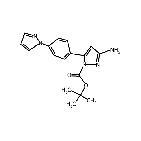 CC(C)(C)OC(=O)n1nc(N)cc1-c1ccc(-n2cccn2)cc1